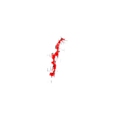 CC(C)NC(=O)c1cc2ccc(-n3cc(Nc4ccc5c(cnn5-c5n[nH]c6ccc(Nc7ccnc(-c8ccc9cc(C(=O)Nc%10ccnc%11[nH]ccc%10%11)[nH]c9c8)n7)cc56)c4)cn3)cc2[nH]1